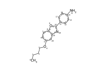 CCCCOc1ccc2oc(-c3ccc(N)cc3)nc2c1